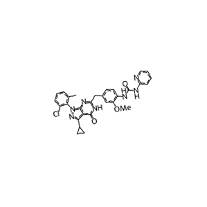 COc1cc(Cc2nc3c(c(C4CC4)nn3-c3c(C)cccc3Cl)c(=O)[nH]2)ccc1NC(=O)Nc1ccccn1